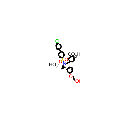 O=C(O)c1cccc(CN([C@]2(C(=O)O)C[C@H]2c2cccc(OCCO)c2)S(=O)(=O)c2ccc(-c3ccc(Cl)cc3)cc2)c1